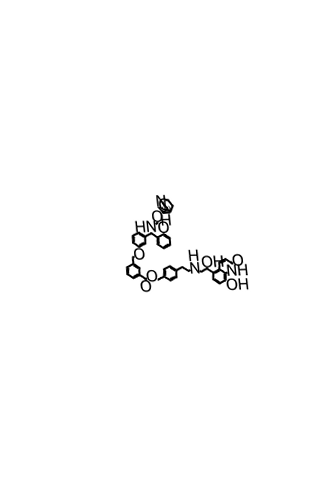 O=C(NC(c1ccccc1)c1cccc(OCc2cccc(C(=O)OCc3ccc(CCNCC(O)c4ccc(O)c5[nH]c(=O)ccc45)cc3)c2)c1)O[C@H]1CN2CCC1CC2